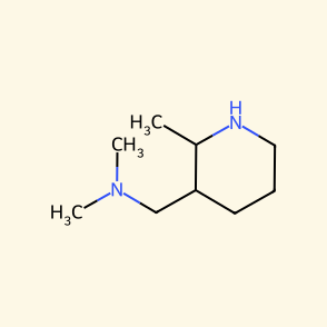 CC1NCCCC1CN(C)C